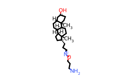 C[C@]12CC[C@H](O)C[C@H]1CC[C@@H]1[C@@H]2CC[C@]2(C)[C@@H](CC/C=N/OCCCN)CC[C@@H]12